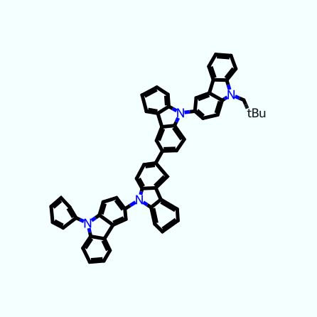 CC(C)(C)Cn1c2ccccc2c2cc(-n3c4ccccc4c4cc(-c5ccc6c(c5)c5ccccc5n6-c5ccc6c(c5)c5ccccc5n6-c5ccccc5)ccc43)ccc21